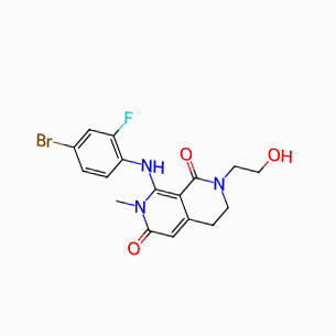 Cn1c(Nc2ccc(Br)cc2F)c2c(cc1=O)CCN(CCO)C2=O